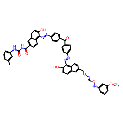 Cc1cccc(NC(=O)NC(=O)c2ccc3c(N=Nc4ccc(C(=O)c5ccc(N=Nc6c(O)ccc7cc(CO/N=C/ONc8cccc(OC(F)(F)F)c8)ccc67)cc5)cc4)c(O)ccc3c2)c1